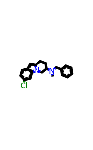 CN(Cc1ccccc1)C1CCc2cc3ccc(Cl)cc3n2C1